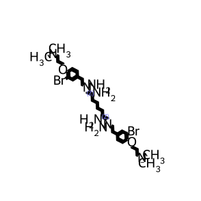 CN(C)CCCOc1ccc(CCN(N)/C=C(\N)CCCC/C(N)=C/N(N)CCc2ccc(OCCCN(C)C)c(Br)c2)cc1Br